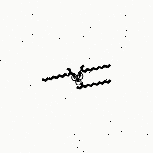 CCCCCCCCCCC(CC)COP(OCC(CC)CCCCCCCCCC)OCC(CC)CCCCCCCCCC